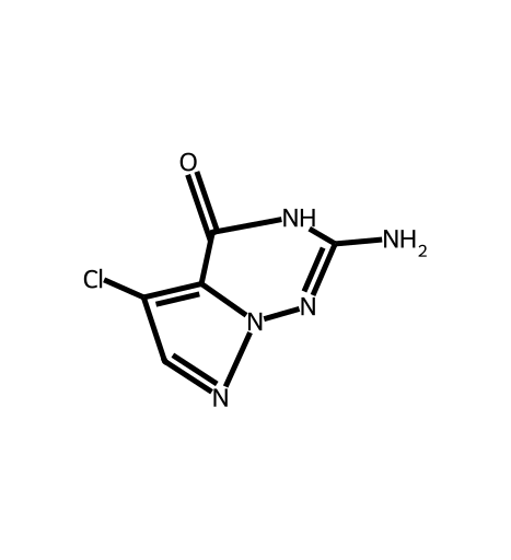 Nc1nn2ncc(Cl)c2c(=O)[nH]1